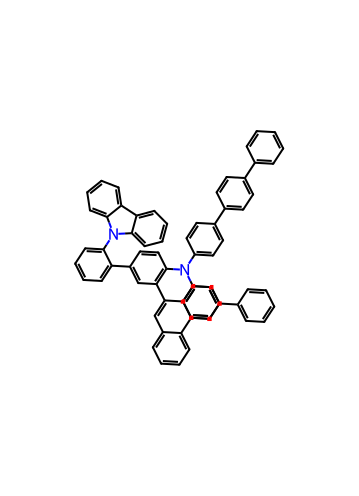 c1ccc(-c2ccc(-c3ccc(N(c4cccc(-c5ccccc5)c4)c4ccc(-c5ccccc5-n5c6ccccc6c6ccccc65)cc4-c4cc5ccccc5c5ccccc45)cc3)cc2)cc1